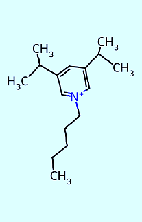 CCCCC[n+]1cc(C(C)C)cc(C(C)C)c1